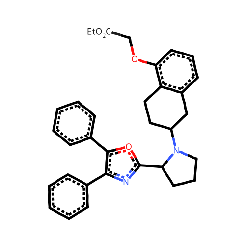 CCOC(=O)COc1cccc2c1CCC(N1CCCC1c1nc(-c3ccccc3)c(-c3ccccc3)o1)C2